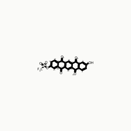 O=c1c2ccc(O)cc2c(=O)c2cc3c(=O)c4ccc(OS(=O)(=O)C(F)(F)F)cc4c(=O)c3cc12